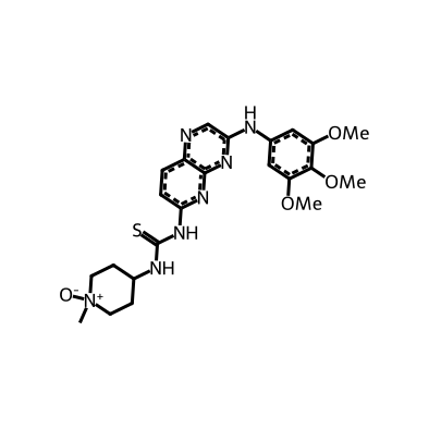 COc1cc(Nc2cnc3ccc(NC(=S)NC4CC[N+](C)([O-])CC4)nc3n2)cc(OC)c1OC